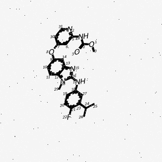 COC(=O)Nc1cc(Oc2ccc3c(c2)nc(Nc2ccc(F)c(C(C)C)c2)n3C)ccn1